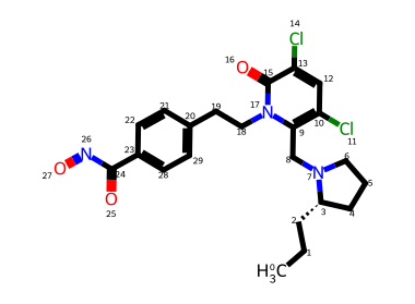 CCC[C@H]1CCCN1Cc1c(Cl)cc(Cl)c(=O)n1CCc1ccc(C(=O)N=O)cc1